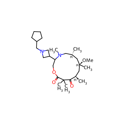 CO[C@]1(C)C[C@@H](C)CN(C)C(C2CN(CC3CCCC3)C2)COC(=O)C(C)(C)C(=O)[C@H](C)C1